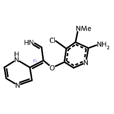 CNc1c(N)ncc(O/C(C=N)=C2\C=NC=CN2)c1Cl